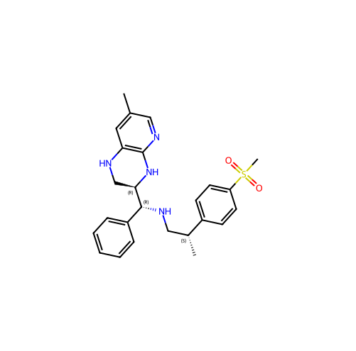 Cc1cnc2c(c1)NC[C@H]([C@H](NC[C@@H](C)c1ccc(S(C)(=O)=O)cc1)c1ccccc1)N2